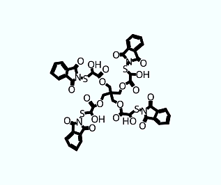 O=C(OCC(COC(=O)C(O)SN1C(=O)c2ccccc2C1=O)(COC(=O)C(O)SN1C(=O)c2ccccc2C1=O)COC(=O)C(O)SN1C(=O)c2ccccc2C1=O)C(O)SN1C(=O)c2ccccc2C1=O